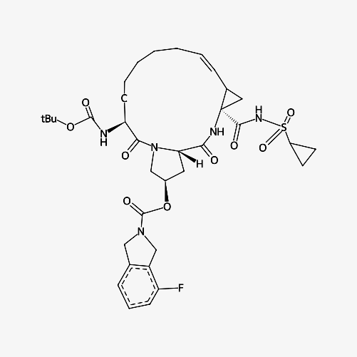 CC(C)(C)OC(=O)N[C@H]1CCCCC/C=C\C2C[C@@]2(C(=O)NS(=O)(=O)C2CC2)NC(=O)[C@@H]2C[C@@H](OC(=O)N3Cc4cccc(F)c4C3)CN2C1=O